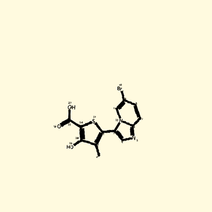 Cc1c(-c2cnc3ccc(Br)cn23)sc(C(=O)O)c1O